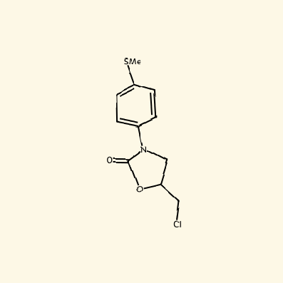 CSc1ccc(N2CC(CCl)OC2=O)cc1